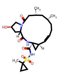 C[C@@H]1CC/C=C\[C@H]2C[C@@]2(C(=O)NS(=O)(=O)C2(C)CC2)NC(=O)[C@@H]2C[C@@H](O)CN2C(=O)C[C@H](C)C1